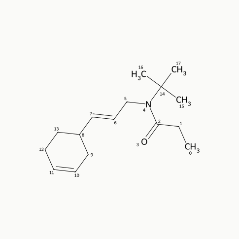 CCC(=O)N(C/C=C/C1CC=CCC1)C(C)(C)C